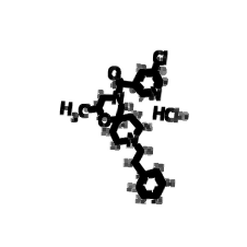 CC1CN(C(=O)c2cncc(Cl)c2)CC2(CCN(CCc3ccccc3)CC2)O1.Cl